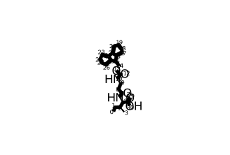 CC[C@H](C)[C@H](NC(=O)CCNC(=O)OCC1c2ccccc2-c2ccccc21)C(=O)O